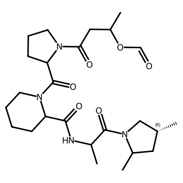 CC(CC(=O)N1CCCC1C(=O)N1CCCCC1C(=O)NC(C)C(=O)N1C[C@H](C)CC1C)OC=O